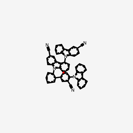 N#Cc1ccc2c(c1)c1ccccc1n2-c1cccc2c1c1cc(C#N)ccc1n2-c1ccccc1-c1ccc(-n2c3ccccc3c3ccccc32)c(C#N)c1